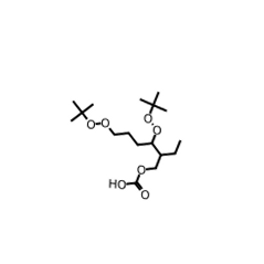 CCC(COC(=O)O)C(CCCOOC(C)(C)C)OOC(C)(C)C